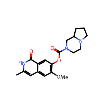 COc1cc2cc(C)[nH]c(=O)c2cc1OC(=O)N1CCN2CCCC2C1